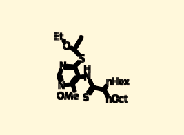 CCCCCCCCC(CCCCCC)C(=S)Nc1c(OC)ncnc1SC(C)OCC